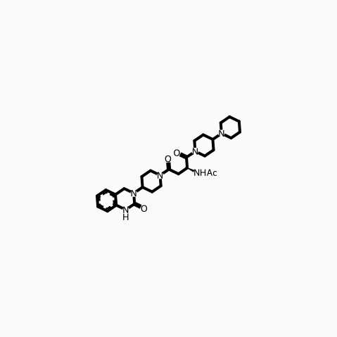 CC(=O)N[C@@H](CC(=O)N1CCC(N2Cc3ccccc3NC2=O)CC1)C(=O)N1CCC(N2CCCCC2)CC1